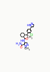 C=C(c1ccc(-c2ccn[nH]2)cc1Cl)C1CCCCC1C(=O)Nc1cnn(C)c1C(N)=O